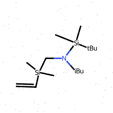 C=C[Si](C)(C)CN(C(C)CC)[Si](C)(C)C(C)(C)C